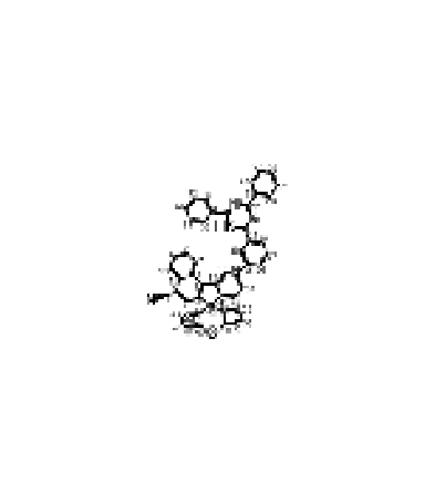 N#Cc1cc2c(c3ccccc13)-c1cc(-c3cccc(C4N=C(c5ccccc5)N=C(c5ccccc5)N4)c3)ccc1C21c2ccccc2OC2C=CC=CC21